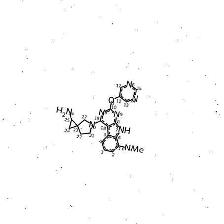 CNc1cccc2c1[nH]c1nc(Oc3cncnc3)nc(N3CCC4(CC4N)C3)c12